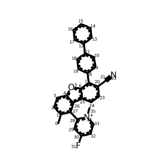 Cc1ccc2oc3c(-c4ccc(-c5ccccc5)cc4)c(C#N)ccc3c2c1-c1cc(F)cc[n+]1C